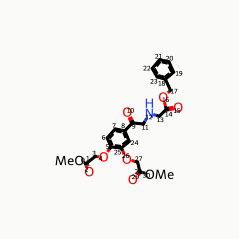 COC(=O)COc1ccc(C(=O)CNCC(=O)OCc2ccccc2)cc1OCC(=O)OC